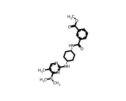 COC(=O)c1cccc(C(=O)N[C@H]2CC[C@@H](Nc3ncc(C)c(N(C)C)n3)CC2)c1